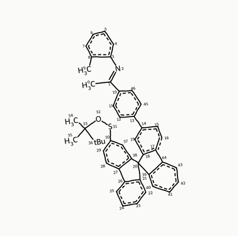 C/C(=N\c1ccccc1C)c1ccc(-c2ccc3c(c2)C2(c4ccccc4-c4ccc(SOC(C)(C)C(C)(C)C)cc42)c2ccccc2-3)cc1